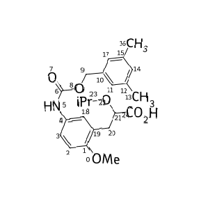 COc1ccc(NC(=O)OCc2cc(C)cc(C)c2)cc1CC(OC(C)C)C(=O)O